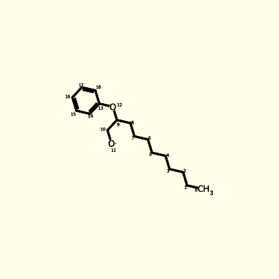 CCCCCCCCCC(C[O])Oc1ccccc1